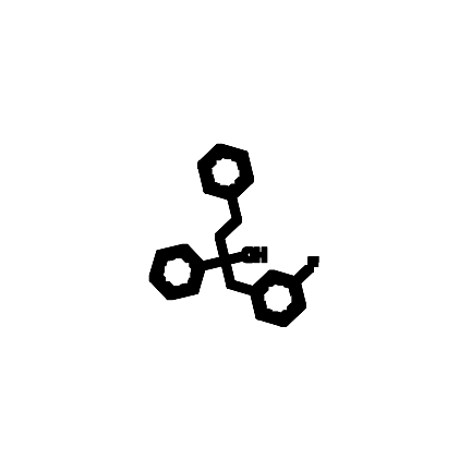 OC(CCc1ccccc1)(Cc1cccc(F)c1)c1ccccc1